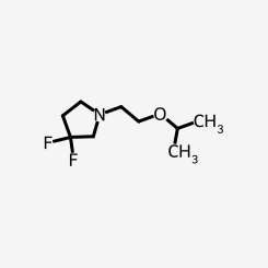 CC(C)OCCN1CCC(F)(F)C1